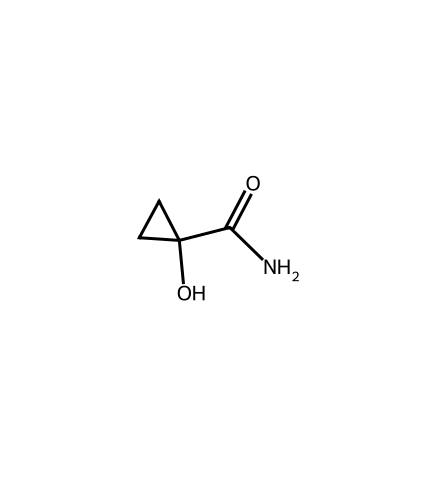 NC(=O)C1(O)CC1